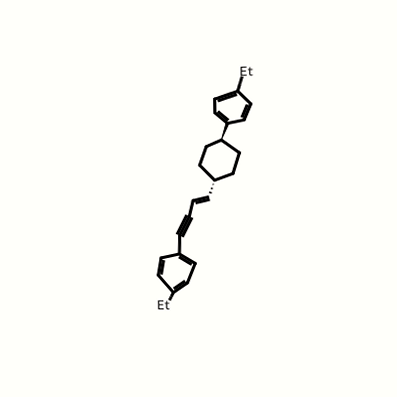 CCc1ccc(C#CC=C[C@H]2CC[C@H](c3ccc(CC)cc3)CC2)cc1